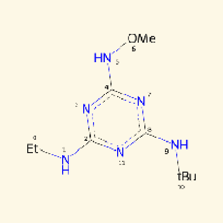 CCNc1nc(NOC)nc(NC(C)(C)C)n1